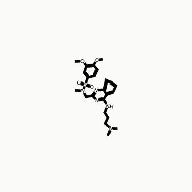 COc1ccc(S(=O)(=O)N(C)Cc2nc(NCCCN(C)C)c3ccccc3n2)cc1OC